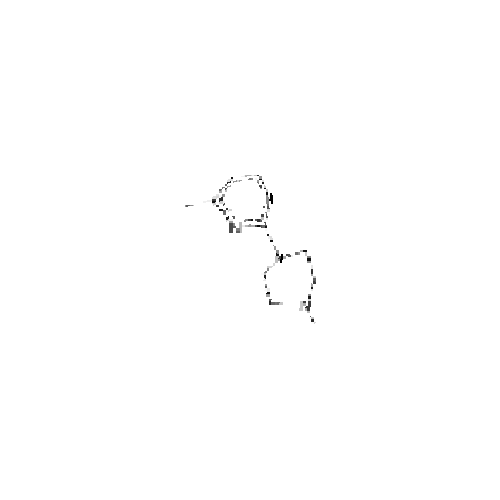 Cc1ccnc(N2CCN(C)CC2)n1